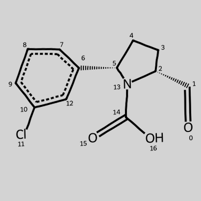 O=C[C@H]1CC[C@@H](c2cccc(Cl)c2)N1C(=O)O